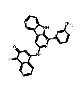 O=C1C=C(Nc2cc3c([nH]c4ccccc43)c(-c3cccc([N+](=O)[O-])c3)n2)c2ccccc2C1=O